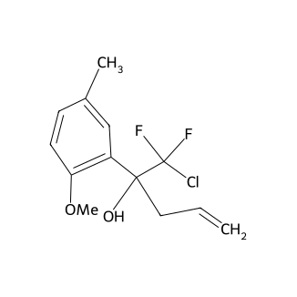 C=CCC(O)(c1cc(C)ccc1OC)C(F)(F)Cl